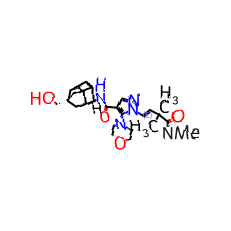 CNC(=O)C(C)(C)/C=C/n1ncc(C(=O)N[C@H]2C3CC4CC2C[C@](CO)(C4)C3)c1N1CCOCC1